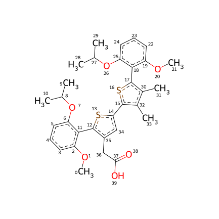 COc1cccc(OC(C)C)c1-c1sc(-c2sc(-c3c(OC)cccc3OC(C)C)c(C)c2C)cc1CC(=O)O